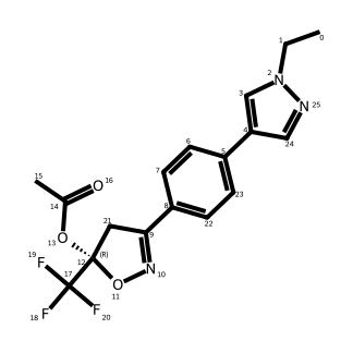 CCn1cc(-c2ccc(C3=NO[C@@](OC(C)=O)(C(F)(F)F)C3)cc2)cn1